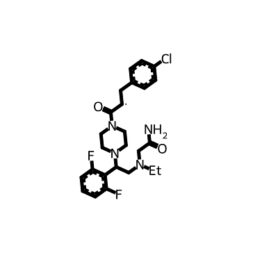 CCN(CC(N)=O)CC(c1c(F)cccc1F)N1CCN(C(=O)[CH]Cc2ccc(Cl)cc2)CC1